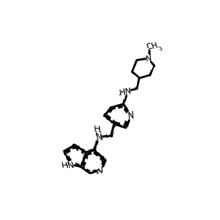 CN1CCC(CNc2ccc(CNc3cncc4[nH]ccc34)cn2)CC1